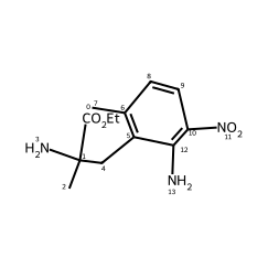 CCOC(=O)C(C)(N)Cc1c(C)ccc([N+](=O)[O-])c1N